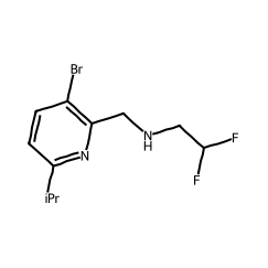 CC(C)c1ccc(Br)c(CNCC(F)F)n1